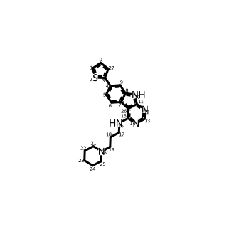 c1csc(-c2ccc3c(c2)[nH]c2ncnc(NCCCN4CCCCC4)c23)c1